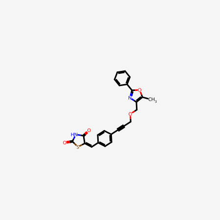 Cc1oc(-c2ccccc2)nc1COCC#Cc1ccc(C=C2SC(=O)NC2=O)cc1